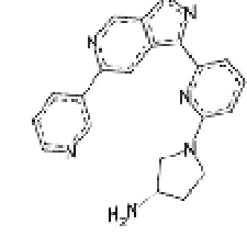 N[C@H]1CCN(c2cccc(-c3n[nH]c4cnc(-c5cccnc5)cc34)n2)C1